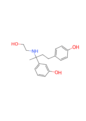 CC(CCc1ccc(O)cc1)(NCCO)c1cccc(O)c1